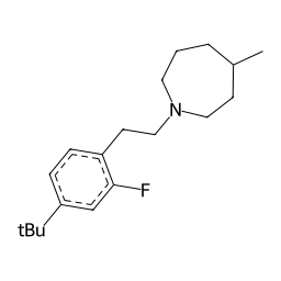 CC1CCCN(CCc2ccc(C(C)(C)C)cc2F)CC1